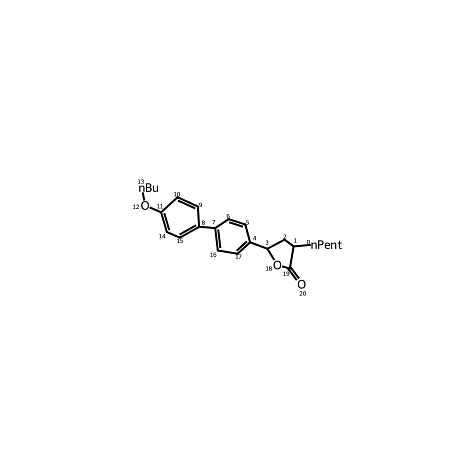 CCCCCC1CC(c2ccc(-c3ccc(OCCCC)cc3)cc2)OC1=O